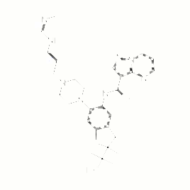 C/N=C\N/C=C/CN1CCN(c2cc3c(cc2NC(=O)c2cnn4cccnc24)CC(C)(C(C)(C)O)O3)CC1